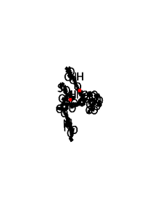 C=CCOC(=O)c1cn(CCCOc2cc(NC(=O)OCc3ccc(O[C@@H]4O[C@H](C(=O)OC)[C@@H](OC(C)=O)[C@H](OC(C)=O)[C@H]4OC(C)=O)c(C(=O)NCCOCCONC(=O)OC(C)(C)C)c3)c(C(=O)N3CC(=C)C[C@H]3CO[Si](C)(C)C(C)(C)C)cc2OC)nn1